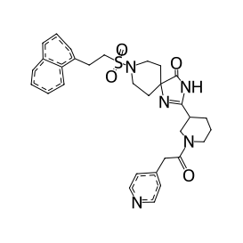 O=C(Cc1ccncc1)N1CCCC(C2=NC3(CCN(S(=O)(=O)CCc4cccc5ccccc45)CC3)C(=O)N2)C1